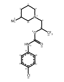 N#CC1CCCN(CC(OC(=O)Nc2ccc(Cl)cc2)C(F)(F)F)C1